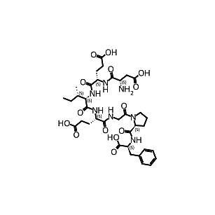 CC[C@H](C)[C@H](NC(=O)[C@H](CCC(=O)O)NC(=O)[C@@H](N)CC(=O)O)C(=O)N[C@@H](CCC(=O)O)C(=O)NCC(=O)N1CCC[C@H]1C(=O)N[C@@H](Cc1ccccc1)C(=O)O